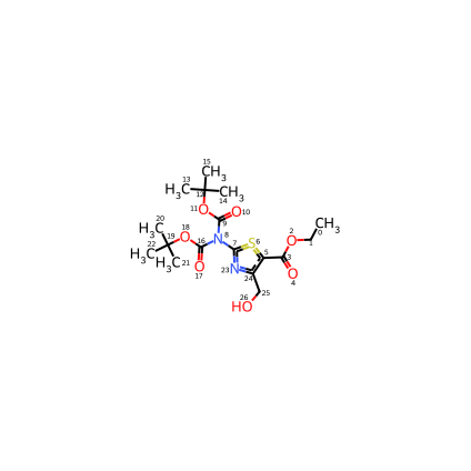 CCOC(=O)c1sc(N(C(=O)OC(C)(C)C)C(=O)OC(C)(C)C)nc1CO